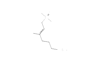 CCCCCCCCCC(C)=CCP(C)(C)=O